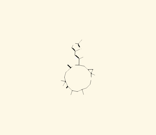 C/C(=C\c1csc(C)n1)C1CC2CC2(C)CCCC(C)CC(C)C(=O)C(C)(C)CCC(=O)O1